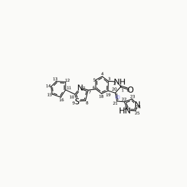 O=C1Nc2ccc(-c3csc(-c4ccccc4)n3)cc2/C1=C/c1cnc[nH]1